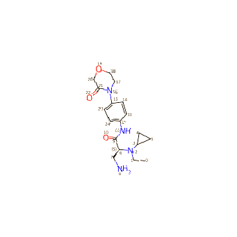 CCN(C1CC1)[C@@H](CN)C(=O)Nc1ccc(N2CCOCC2=O)cc1